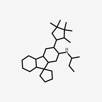 CCC(C)NC1CC2C(CC1C1CC(C)(C)C(C)(C)C1C)C1CCCCC1C21CCCC1